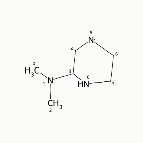 CN(C)C1C[N]CCN1